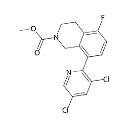 COC(=O)N1CCc2c(F)ccc(-c3ncc(Cl)cc3Cl)c2C1